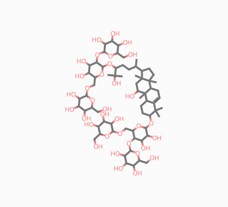 CC(CCC(OC1OC(COC2OC(CO)C(O)C(O)C2O)C(O)C(O)C1OC1OC(CO)C(O)C(O)C1O)C(C)(C)O)C1CCC2(C)C3CC=C4C(CCC(OC5OC(COC6OC(CO)C(O)C(O)C6O)C(OC6OC(CO)C(O)C(O)C6O)C(O)C5O)C4(C)C)C3(C)C(O)CC12C